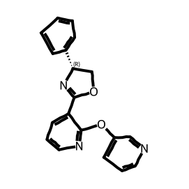 c1ccc([C@@H]2COC(c3cccnc3Oc3cccnc3)=N2)cc1